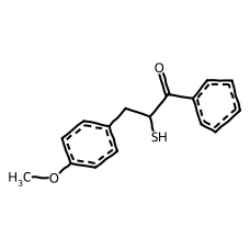 COc1ccc(CC(S)C(=O)c2ccccc2)cc1